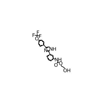 O=C(Nc1cccc(-c2nc(-c3ccc(OC(F)(F)F)cc3)c[nH]2)c1)OCCO